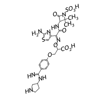 CC1(C)C(NC(=O)C(=NOC(COc2ccc(C(=N)NC3CCNC3)cc2)C(=O)O)c2csc(N)n2)C(=O)N1S(=O)(=O)O